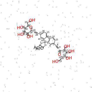 CC(=O)OCC1(COC(C)=O)c2cc(C#C[C@H]3O[C@H](CO)[C@@H](O)[C@H](O)[C@@H]3O)ccc2-c2ccc(C#C[C@H]3O[C@H](CO)[C@@H](O)[C@H](O)[C@@H]3O)cc21